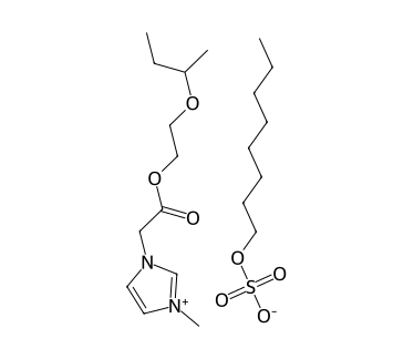 CCC(C)OCCOC(=O)Cn1cc[n+](C)c1.CCCCCCCCOS(=O)(=O)[O-]